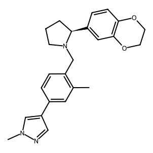 Cc1cc(-c2cnn(C)c2)ccc1CN1CCC[C@H]1c1ccc2c(c1)OCCO2